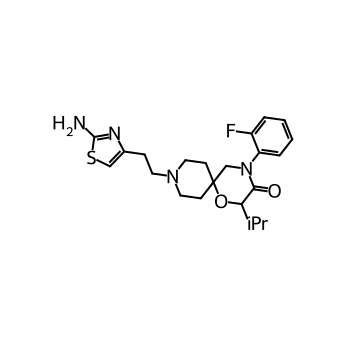 CC(C)C1OC2(CCN(CCc3csc(N)n3)CC2)CN(c2ccccc2F)C1=O